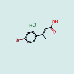 CC(=CC(=O)O)c1ccc(Br)cc1.Cl